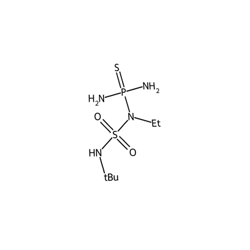 CCN(P(N)(N)=S)S(=O)(=O)NC(C)(C)C